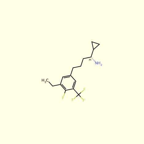 CCc1cc(CCC[C@@H](N)C2CC2)cc(C(F)(F)F)c1F